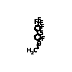 C=CCOc1ccc2c(sc3c(F)c(C(F)(F)F)ccc32)c1F